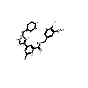 COc1cc(CNC(=O)c2cc(-c3nnn(CC4CCCCC4)n3)nc(C)n2)ccc1F